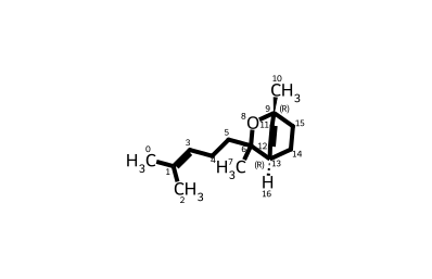 CC(C)=CCCC1(C)O[C@@]2(C)C=C[C@H]1CC2